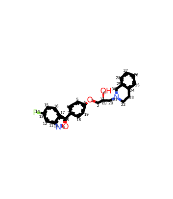 O[C@H](COc1ccc(-c2onc3cc(F)ccc23)cc1)CN1CCc2ccccc2C1